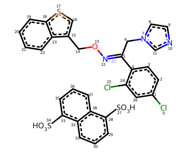 Clc1ccc(/C(Cn2ccnc2)=N/OCc2csc3ccccc23)c(Cl)c1.O=S(=O)(O)c1cccc2c(S(=O)(=O)O)cccc12